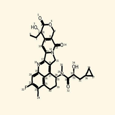 CC[C@@]1(O)C(=O)OCc2c1cc1n(c2=O)Cc2c-1nc1cc(F)c(C)c3c1c2[C@@H](N(C)C(=O)[C@@H](O)CC1CC1)CC3